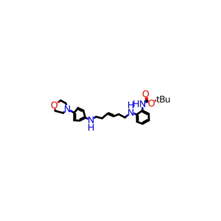 CC(C)(C)OC(=O)Nc1ccccc1NCCC=CCCNc1ccc(N2CCOCC2)cc1